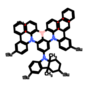 CC(C)(C)c1ccc(N2c3cc(-c4ccccc4)ccc3B3c4ccc(C(C)(C)C)cc4N(c4ccc(C(C)(C)C)cc4-c4ccccc4)c4cc(N5c6ccc(C(C)(C)C)cc6C6(C)CC(C(C)(C)C)CCC56C)cc2c43)c(-c2ccccc2)c1